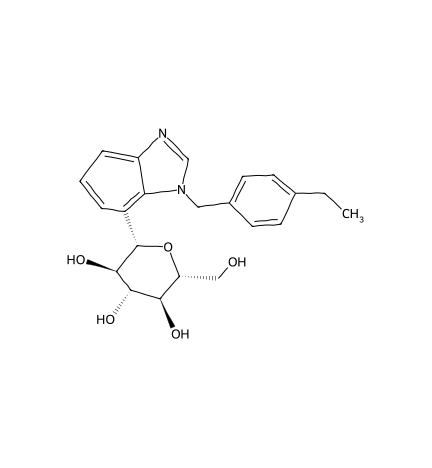 CCc1ccc(Cn2cnc3cccc([C@@H]4O[C@H](CO)[C@@H](O)[C@H](O)[C@H]4O)c32)cc1